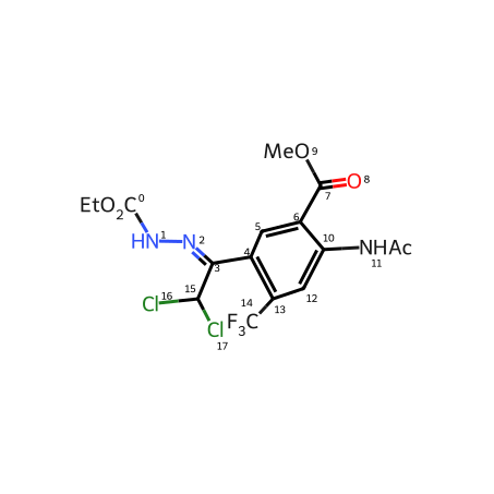 CCOC(=O)N/N=C(/c1cc(C(=O)OC)c(NC(C)=O)cc1C(F)(F)F)C(Cl)Cl